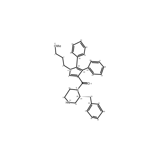 COCCCn1cc(C(=O)N2CCNC[C@H]2Cc2ccccc2)c(-c2ccccc2)c1-c1ccccc1